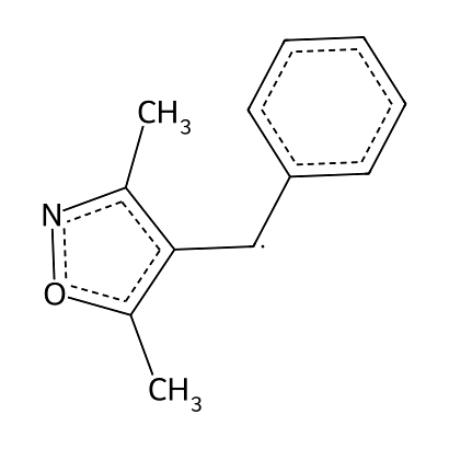 Cc1noc(C)c1[CH]c1ccccc1